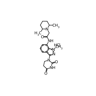 CC1CCCC(C)N1CC(=O)Nc1cccc2c(N3CCC(=O)NC3=O)nn(C)c12.Cl